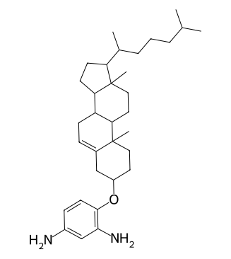 CC(C)CCCC(C)C1CCC2C3CC=C4CC(Oc5ccc(N)cc5N)CCC4(C)C3CCC12C